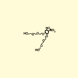 O=[N+]([O-])c1cc(OCCOCCOCCO)c(OCCOCCOCCO)cc1[N+](=O)[O-]